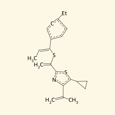 C=C(S/C(=C\C)c1ccc(CC)cc1)c1nc(C(=C)C)c(C2CC2)s1